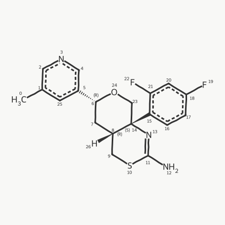 Cc1cncc([C@H]2C[C@H]3CSC(N)=N[C@@]3(c3ccc(F)cc3F)CO2)c1